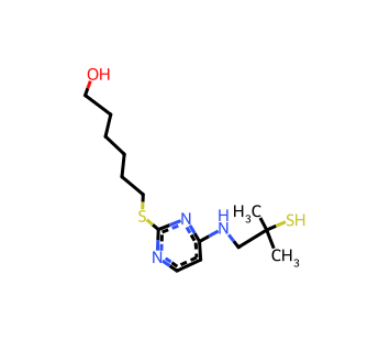 CC(C)(S)CNc1ccnc(SCCCCCCO)n1